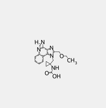 CCOCc1nc2c(N)nc3ccccc3c2n1CC1(NC(=O)O)CC1